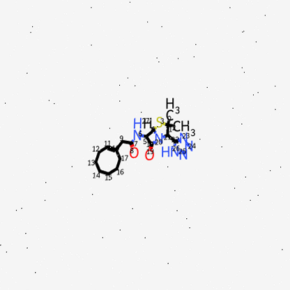 CC1(C)S[C@@H]2C(NC(=O)CC3=CCCCCCC3)C(=O)N2C1c1nnn[nH]1